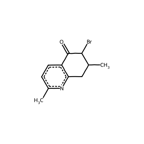 Cc1ccc2c(n1)CC(C)C(Br)C2=O